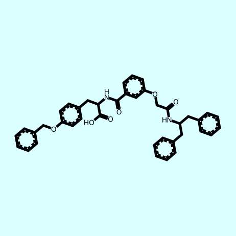 O=C(COc1cccc(C(=O)NC(Cc2ccc(OCc3ccccc3)cc2)C(=O)O)c1)NC(Cc1ccccc1)Cc1ccccc1